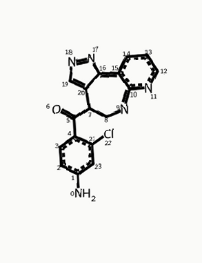 Nc1ccc(C(=O)C2CN=c3ncccc3=C3N=NC=C32)c(Cl)c1